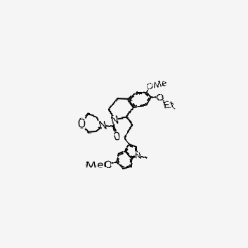 CCOc1cc2c(cc1OC)CCN(C(=O)N1CCOCC1)C2CCc1cn(C)c2ccc(OC)cc12